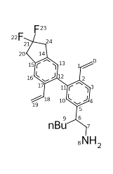 C=Cc1ccc(C(CN)CCCC)cc1-c1cc2c(cc1C=C)CC(F)(F)C2